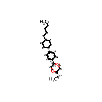 CCCCC[C@H]1CC[C@H](c2ccc([C@@H]3CO[C@@H](CC)CO3)cc2)CC1